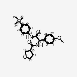 COc1ccc(C(NC(=O)C2CCOC2)C(=O)Nc2ccc([Si](C)(C)C)cc2)cc1